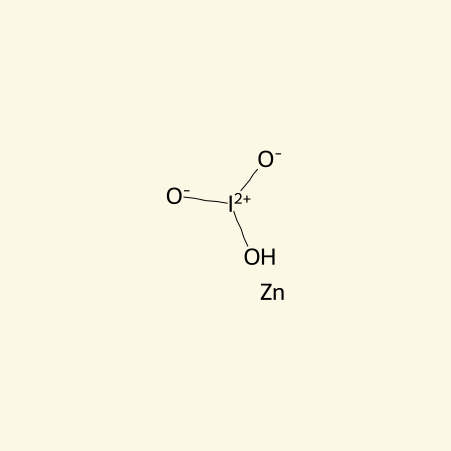 [O-][I+2]([O-])O.[Zn]